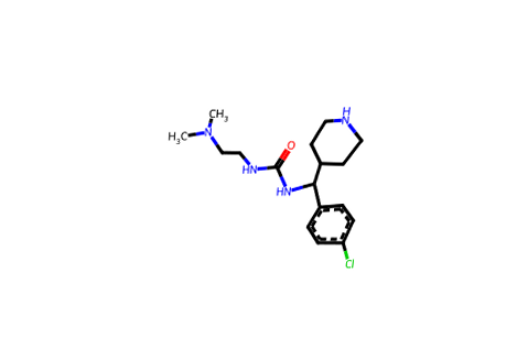 CN(C)CCNC(=O)NC(c1ccc(Cl)cc1)C1CCNCC1